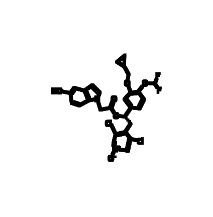 O=C(Cn1ccc2cc(O)ccc21)O[C@@H](Cc1c(Cl)c[n+]([O-])cc1Cl)c1ccc(OC(F)F)c(OCC2CC2)c1